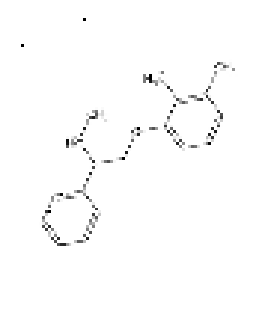 CNC(COc1cccc(C)c1C)c1ccccc1